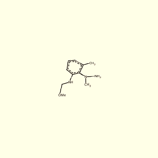 COCNc1cccc(C)c1N(C)N